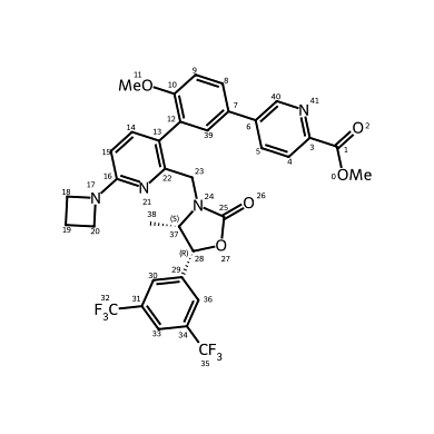 COC(=O)c1ccc(-c2ccc(OC)c(-c3ccc(N4CCC4)nc3CN3C(=O)O[C@H](c4cc(C(F)(F)F)cc(C(F)(F)F)c4)[C@@H]3C)c2)cn1